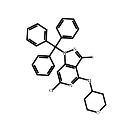 Clc1cc2c(c(I)nn2C(c2ccccc2)(c2ccccc2)c2ccccc2)c(OC2CCOCC2)n1